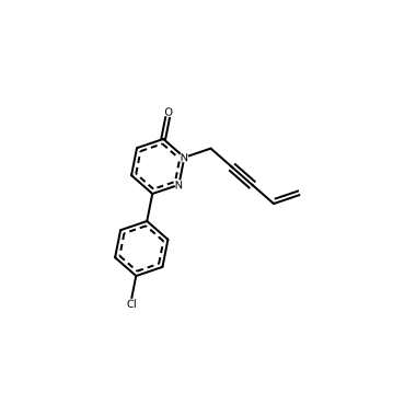 C=CC#CCn1nc(-c2ccc(Cl)cc2)ccc1=O